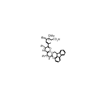 CC[C@H](C)C(/C=C(\C)C(=O)[C@@H](NC(=O)[C@H](C(C)C)N(C)C(=O)OCC1c2ccccc2-c2ccccc21)C(C)C)[C@@H](CC(=O)O)OC